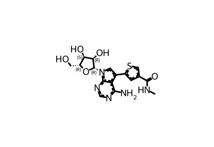 CNC(=O)c1csc(-c2cn([C@@H]3O[C@H](CO)[C@@H](O)[C@H]3O)c3ncnc(N)c23)c1